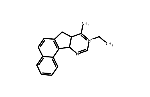 CC[N+]1=C(C)C2Cc3ccc4ccccc4c3C2N=C1